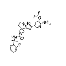 CC(C)(NC(=O)N1CC2(CCn3nc(-c4cnc(N)c(OC(F)F)c4)cc32)C1)c1ccccc1F